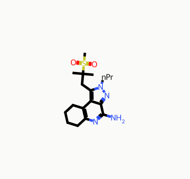 CCCn1nc2c(N)nc3c(c2c1CC(C)(C)S(C)(=O)=O)CCCC3